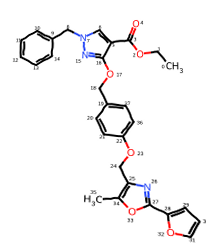 CCOC(=O)c1cn(Cc2ccccc2)nc1OCc1ccc(OCc2nc(-c3ccco3)oc2C)cc1